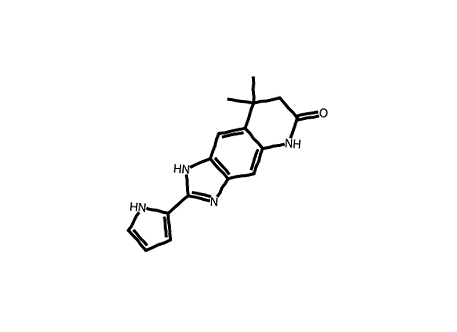 CC1(C)CC(=O)Nc2cc3nc(-c4ccc[nH]4)[nH]c3cc21